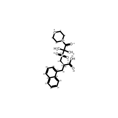 CC(C)(C(=O)N1CCOCC1)S(=O)(=O)C[C@H](Cc1cccc2ccccc12)C(=O)O